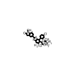 CC(=O)[C@@H](OC(C)(C)C)c1c(C)cc2nc(-c3ccc4c(c3)CC(=O)N4C)sc2c1-c1ccc(Cl)cc1